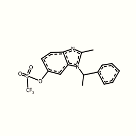 Cc1nc2ccc(OS(=O)(=O)C(F)(F)F)cc2n1C(C)c1ccccc1